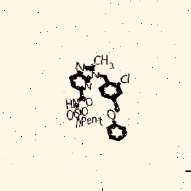 CCCCCS(=O)(=O)NC(=O)c1ccc2nc(C)n(Cc3ccc(COc4ccccc4)cc3Cl)c2n1